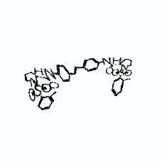 Cc1ccccc1S(=O)(=O)N1CCC[C@H]1C(=O)Nc1ccc(/C=C/c2ccc(NC(=O)[C@@H]3CCCN3S(=O)(=O)c3ccccc3C)cc2)cc1